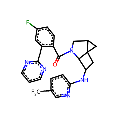 O=C(c1ccc(F)cc1-c1ncccn1)N1CC2CC23CC(Nc2ccc(C(F)(F)F)cn2)C13